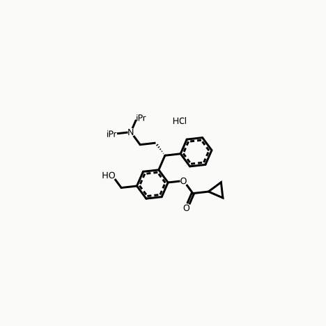 CC(C)N(CC[C@H](c1ccccc1)c1cc(CO)ccc1OC(=O)C1CC1)C(C)C.Cl